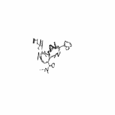 CN(C)C(=O)c1cnc(N)n2nc(-c3ccco3)nc12